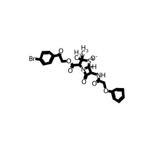 CC1(C)C(C(=O)OCC(=O)c2ccc(Br)cc2)N2C(=O)C(NC(=O)COc3ccccc3)[C@@H]2[S+]1[O-]